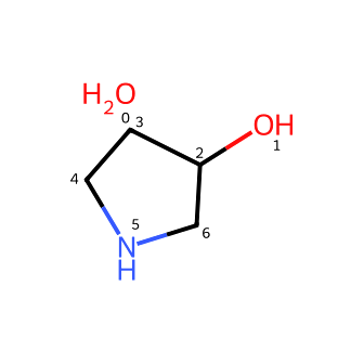 O.OC1CCNC1